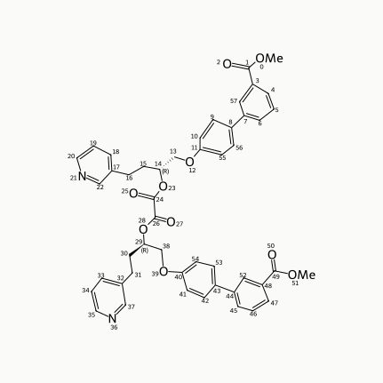 COC(=O)c1cccc(-c2ccc(OC[C@@H](CCc3cccnc3)OC(=O)C(=O)O[C@H](CCc3cccnc3)COc3ccc(-c4cccc(C(=O)OC)c4)cc3)cc2)c1